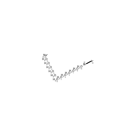 O.O.O.O.O.O.O.O.O.O.O.O.[Br][Ir-].[Na+]